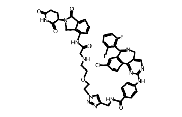 O=C1CCC(N2Cc3c(NC(=O)CNCCOCCn4cc(CNC(=O)c5ccc(Nc6ncc7c(n6)-c6ccc(Cl)cc6C(c6c(F)cccc6F)=NC7)cc5)nn4)cccc3C2=O)C(=O)N1